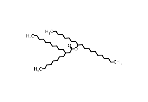 CCCCCCCCCCCC(CCCCCCCC)OC(=O)CC(CCCCCCCC)CCCCCCCCCC